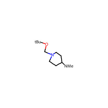 CNC1CCN(COC(C)(C)C)CC1